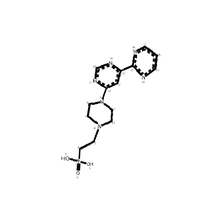 O=P(O)(O)CCN1CCN(c2cc(-c3ncccn3)ncn2)CC1